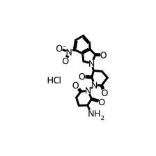 Cl.NC1CCC(=O)N(N2C(=O)CCC(N3Cc4c(cccc4[N+](=O)[O-])C3=O)C2=O)C1=O